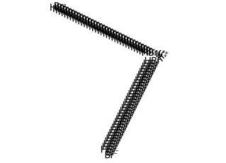 Br.Br.Br.Br.Br.Br.Br.Br.Br.Br.Br.Br.Br.Br.Br.Br.Br.Br.Br.Br.Br.Br.Br.Br.Br.Br.Br.Br.Br.Br.Br.Br.Br.Br.Br.Br.Br.Br.Br.Br.Br.Br.Br.Br.Br.Br.Br.Br.Br.Br.Br.Br.Br.Br.Br.Br.Br.Br.Br.Br.Br.Br.Br.Br.Br.Br.Br.[Br-].[Br-].[Br-].[K+].[K+].[K+]